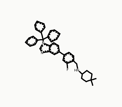 CC1(C)CCC(NCc2ccc(-c3ccc4c(c3)ncn4C(c3ccccc3)(c3ccccc3)c3ccccc3)cc2F)CC1